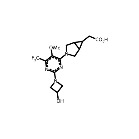 COc1c(N2CC3C(CC(=O)O)C3C2)nc(N2CC(O)C2)nc1C(F)(F)F